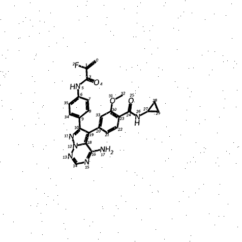 C=C(F)C(=O)Nc1ccc(-c2nn3ncnc(N)c3c2-c2ccc(C(=O)NC3CC3)c(OC)c2)cc1